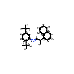 CC(C=Nc1cc(C(C)(C)C)ccc1C(C)(C)C)c1cccc2ccccc12